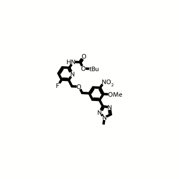 COc1c(-c2ncn(C)n2)cc(COCc2nc(NC(=O)OC(C)(C)C)ccc2F)cc1[N+](=O)[O-]